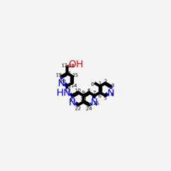 Cc1ccncc1-c1cc2cc(Nc3ccc(CO)cn3)ncc2cn1